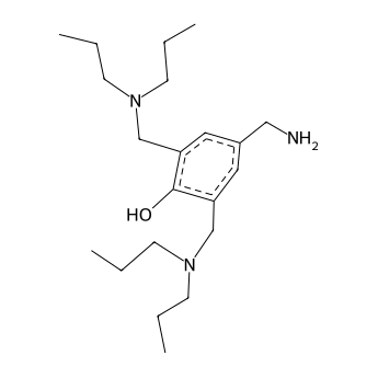 CCCN(CCC)Cc1cc(CN)cc(CN(CCC)CCC)c1O